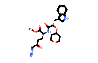 CC(C)OC(=O)[C@H](CCC(=O)C=[N+]=[N-])NC(=O)[C@H](Cc1c[nH]c2ccccc12)OC1CCOCC1